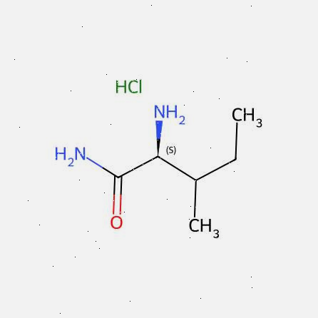 CCC(C)[C@H](N)C(N)=O.Cl